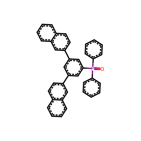 O=P(c1ccccc1)(c1ccccc1)c1cc(-c2ccc3ccccc3c2)cc(-c2ccc3ccccc3c2)c1